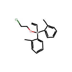 C=C[Si](OCCCl)(c1ccccc1C)c1ccccc1C